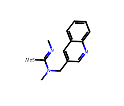 CN=C(SC)N(C)Cc1cnc2ccccc2c1